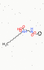 CCCCCCCCCCCC(=O)N[C@@H](CCCCNC(=O)OCc1ccccc1)C(=O)O